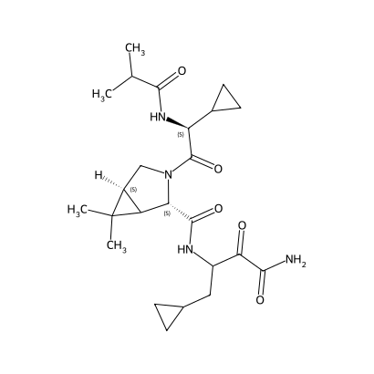 CC(C)C(=O)N[C@H](C(=O)N1C[C@H]2C([C@H]1C(=O)NC(CC1CC1)C(=O)C(N)=O)C2(C)C)C1CC1